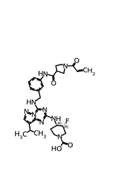 C=CC(=O)N1CCC(C(=O)Nc2cccc(CNc3nc(N[C@@H]4CCN(C(=O)O)C[C@H]4F)nc4c(C(C)C)cnn34)c2)C1